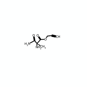 C#CCOC(=O)[C@](C)(N)C(N)=O